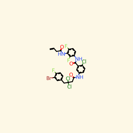 C=CCC(=O)Nc1c(F)ccc(NC(=O)c2cc(NC(=O)CC(Cl)(Cl)Cc3ccc(F)c(Br)c3)ccc2Cl)c1F